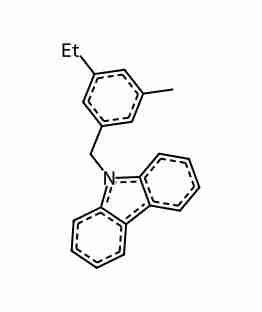 CCc1cc(C)cc(Cn2c3ccccc3c3ccccc32)c1